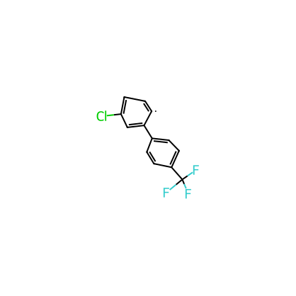 FC(F)(F)c1ccc(-c2[c]ccc(Cl)c2)cc1